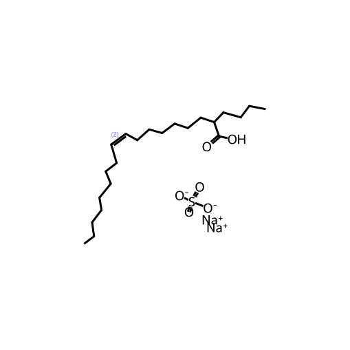 CCCCCCCC/C=C\CCCCCCC(CCCC)C(=O)O.O=S(=O)([O-])[O-].[Na+].[Na+]